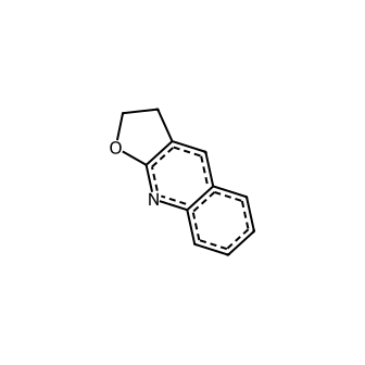 c1ccc2nc3c(cc2c1)CCO3